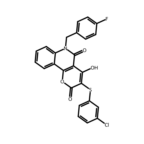 O=c1oc2c(c(O)c1Sc1cccc(Cl)c1)c(=O)n(Cc1ccc(F)cc1)c1ccccc21